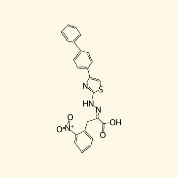 O=C(O)/C(Cc1ccccc1[N+](=O)[O-])=N/Nc1nc(-c2ccc(-c3ccccc3)cc2)cs1